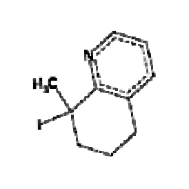 CC1(I)CCCc2cccnc21